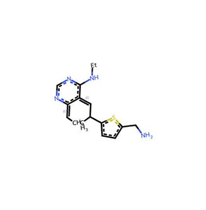 C/C=c1/ncnc(NCC)/c1=C/C(C)c1ccc(CN)s1